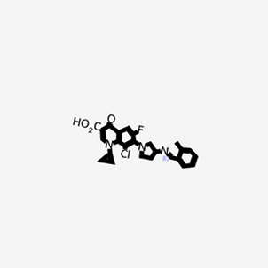 Cc1ccccc1/C=N/C1CCN(c2c(F)cc3c(=O)c(C(=O)O)cn(C4=CC4)c3c2Cl)C1